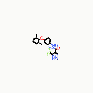 Cc1cccc(C)c1Oc1ccc(NNC(=O)c2cn(C)nc2C(F)F)cc1